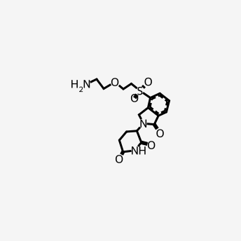 NCCOCCS(=O)(=O)c1cccc2c1CN(C1CCC(=O)NC1=O)C2=O